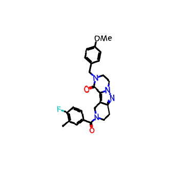 COc1ccc(CN2CCn3nc4c(c3C2=O)CN(C(=O)c2ccc(F)c(C)c2)CC4)cc1